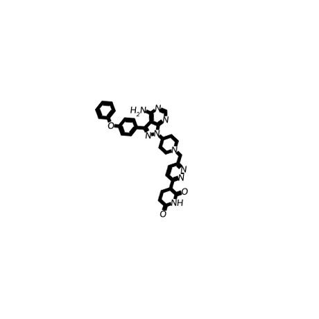 Nc1ncnc2c1c(-c1ccc(Oc3ccccc3)cc1)nn2C1CCN(Cc2ccc(C3CCC(=O)NC3=O)nn2)CC1